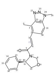 Cc1c(/C=C/C(=O)N2COC[C@H]2c2ccccc2)ccc2c1nnn2C